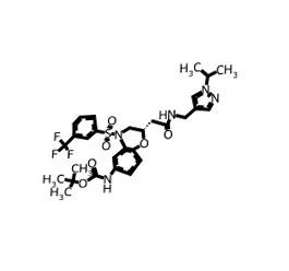 CC(C)n1cc(CNC(=O)C[C@H]2CN(S(=O)(=O)c3cccc(C(F)(F)F)c3)c3cc(NC(=O)OC(C)(C)C)ccc3O2)cn1